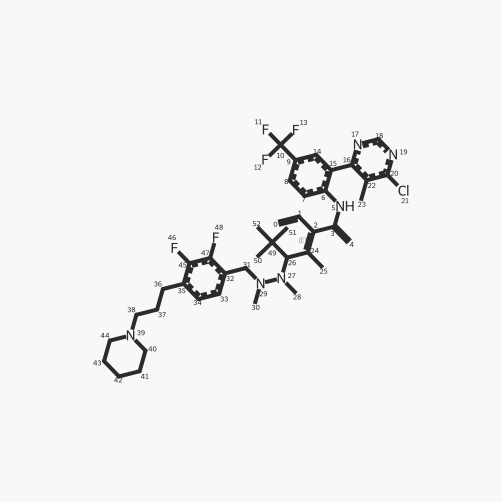 C=C/C(C(=C)Nc1ccc(C(F)(F)F)cc1-c1ncnc(Cl)c1C)=C(/C)C(N(C)N(C)Cc1ccc(CCCN2CCCCC2)c(F)c1F)C(C)(C)C